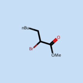 CCCCCC(Br)C(=O)OC